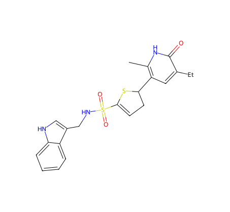 CCc1cc(C2CC=C(S(=O)(=O)NCc3c[nH]c4ccccc34)S2)c(C)[nH]c1=O